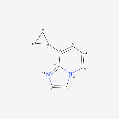 [c]1cn2cccc(C3CC3)c2n1